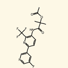 CC(=O)OC(C)(C)C(=O)Nc1ccc(-c2cncc(F)c2)nc1C(F)(F)F